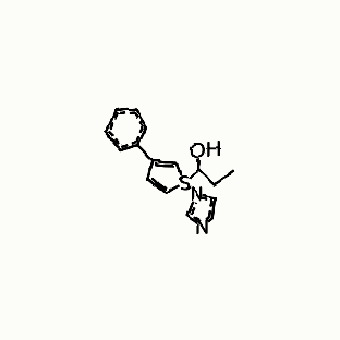 CCC(O)S1(n2ccnc2)C=CC(c2ccccc2)=C1